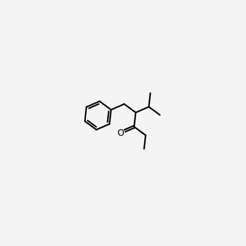 CCC(=O)C(Cc1ccccc1)C(C)C